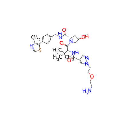 Cc1ncsc1-c1ccc(CNC(=O)[C@@H]2C[C@@H](O)CN2C(=O)C(NC(=O)c2cnn(CCOCCN)c2)C(C)(C)C)cc1